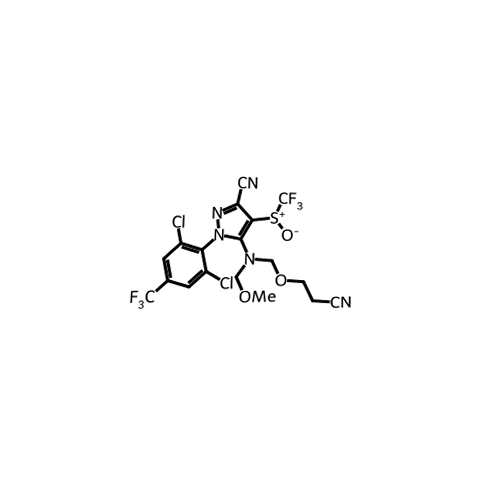 COCN(COCCC#N)c1c([S+]([O-])C(F)(F)F)c(C#N)nn1-c1c(Cl)cc(C(F)(F)F)cc1Cl